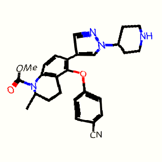 COC(=O)N1c2ccc(-c3cnn(C4CCNCC4)c3)c(Oc3ccc(C#N)cc3)c2CCC1C